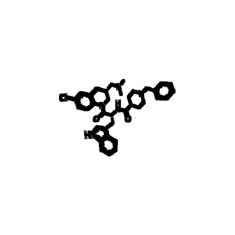 CN(C)C[C@@H]1Cc2cc(Cl)ccc2N(C(=O)[C@@H](Cc2c[nH]c3ccccc23)NC(=O)C2CCN(Cc3ccccc3)CC2)C1